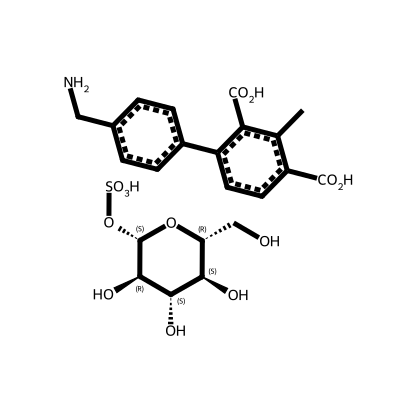 Cc1c(C(=O)O)ccc(-c2ccc(CN)cc2)c1C(=O)O.O=S(=O)(O)O[C@@H]1O[C@H](CO)[C@@H](O)[C@H](O)[C@H]1O